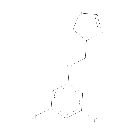 Clc1cc(Cl)cc(OCC2CO[C]=N2)c1